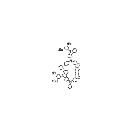 CC(C)(C)c1cc(-n2c3ccccc3c3cc(N(c4ccccc4)c4ccc5oc6cc7cc8oc9ccc(N(c%10ccc(-c%11ccccc%11)cc%10)c%10ccc%11c(c%10)c%10ccccc%10n%11-c%10cc(C(C)(C)C)cc(C(C)(C)C)c%10)cc9c8cc7cc6c5c4)ccc32)cc(C(C)(C)C)c1